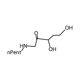 CCCCCNCC(=O)C(O)CCO